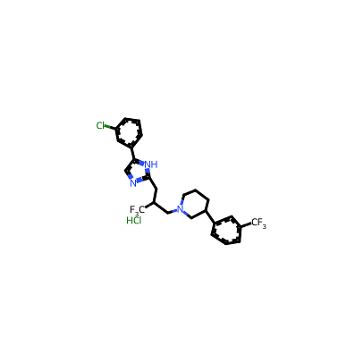 Cl.FC(F)(F)c1cccc(C2CCCN(CC(Cc3ncc(-c4cccc(Cl)c4)[nH]3)C(F)(F)F)C2)c1